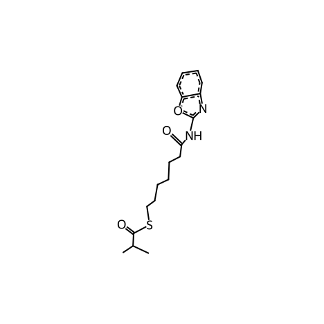 CC(C)C(=O)SCCCCCCC(=O)Nc1nc2ccccc2o1